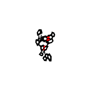 c1ccc(-n2c3ccccc3c3c(-c4cccc(-c5ccccc5N(c5ccc(-c6ccc7c(ccc8ccccc87)c6)cc5)c5cc6ccccc6c6ccccc56)c4)cccc32)cc1